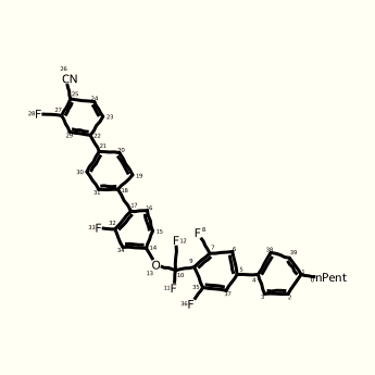 CCCCCc1ccc(-c2cc(F)c(C(F)(F)Oc3ccc(-c4ccc(-c5ccc(C#N)c(F)c5)cc4)c(F)c3)c(F)c2)cc1